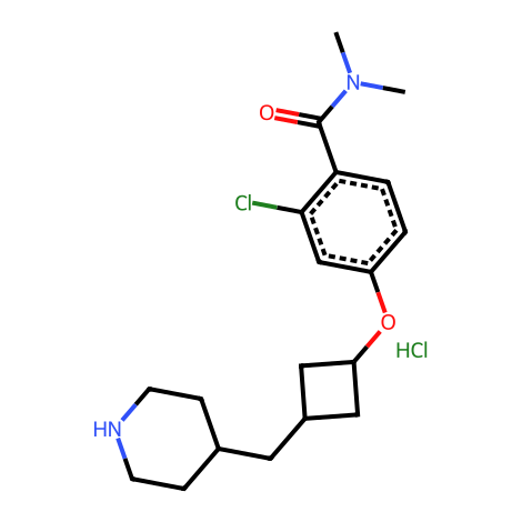 CN(C)C(=O)c1ccc(OC2CC(CC3CCNCC3)C2)cc1Cl.Cl